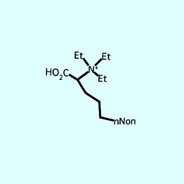 CCCCCCCCCCCCC(C(=O)O)[N+](CC)(CC)CC